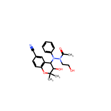 CC(=O)N(CCO)N(c1ccccc1)C1c2cc(C#N)ccc2OC(C)(C)C1O